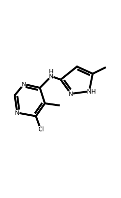 Cc1cc(Nc2ncnc(Cl)c2C)n[nH]1